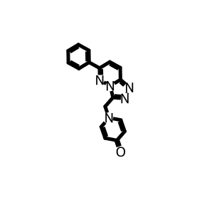 O=c1ccn(Cc2nnc3ccc(-c4ccccc4)nn23)cc1